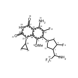 COc1c(N2CC(F)C(C(N)C(F)(F)F)C2)c(F)c(N)c2c(=O)[nH]c(=O)n(C3CC3)c12